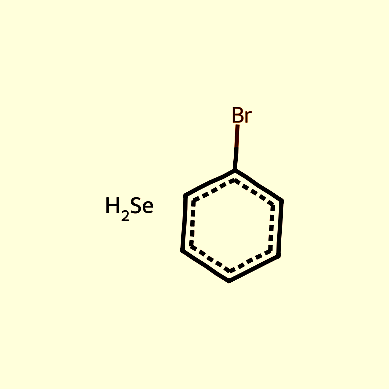 Brc1ccccc1.[SeH2]